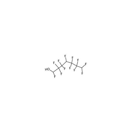 OC(F)C(F)(F)C(F)(F)C(F)C(F)(F)C(F)(F)C(F)F